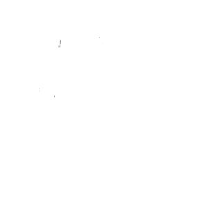 FC(F)(F)c1ccccc1C1=C(c2ccccc2)C(c2ccccc2)=C(c2ccccc2C(F)(F)F)[Si]1(c1ccccc1)c1ccccc1